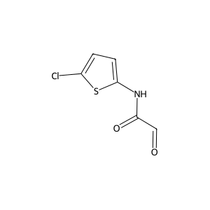 O=CC(=O)Nc1ccc(Cl)s1